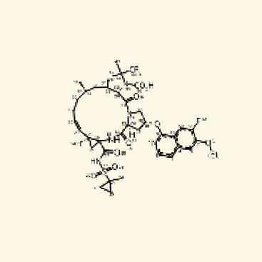 CCOc1cc2ccnc(O[C@@H]3C[C@H]4C(=O)N[C@]5(C(=O)NS(=O)(=O)C6(C)CC6)C[C@H]5C=CCC[C@@H](C)C[C@@H](C)[C@H](N(C(=O)O)C(C)(C)C(F)(F)F)C(=O)N4C3)c2cc1F